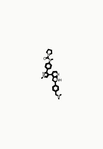 CN(C)Cc1ccc(C2Cc3c(-c4cn(C)nc4-c4ccc(N(C)C(=O)N5CCCC5)cc4)ccnc3N2)cc1